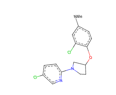 CNc1ccc(OC2CCN(c3ccc(Cl)cn3)C2)c(Cl)c1